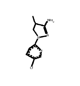 CC1CN(c2ccc(Cl)cn2)N=C1N